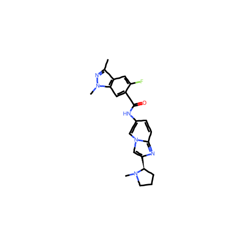 Cc1nn(C)c2cc(C(=O)Nc3ccc4nc([C@H]5CCCN5C)cn4c3)c(F)cc12